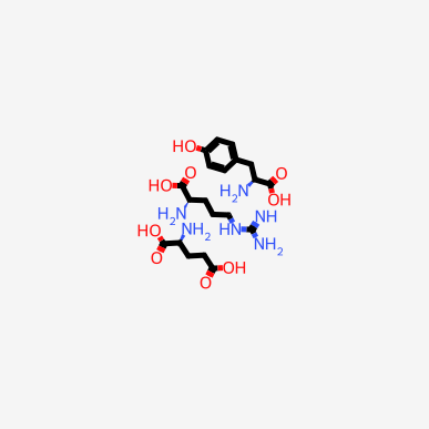 N=C(N)NCCC[C@H](N)C(=O)O.N[C@@H](CCC(=O)O)C(=O)O.N[C@@H](Cc1ccc(O)cc1)C(=O)O